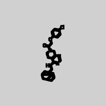 O=C(COc1ccc(Cl)cc1)N1CCc2c(ncnc2NCC23CC4CC(CC(C4)C2)C3)C1